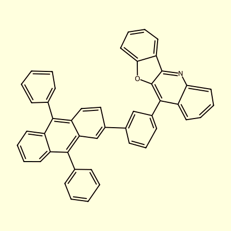 c1ccc(-c2c3ccccc3c(-c3ccccc3)c3cc(-c4cccc(-c5c6ccccc6nc6c5oc5ccccc56)c4)ccc23)cc1